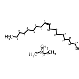 CCCCCCCC/C=C\CCCCCCCCBr.CCN(C)C